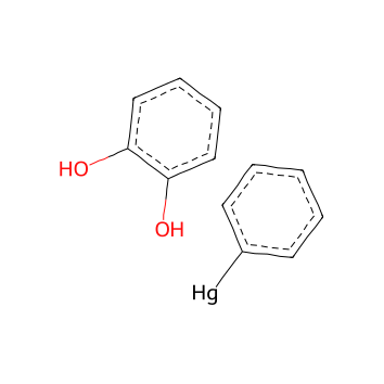 Oc1ccccc1O.[Hg][c]1ccccc1